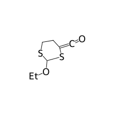 CCOC1SCCC(=C=O)S1